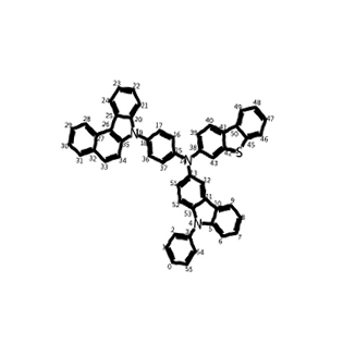 c1ccc(-n2c3ccccc3c3cc(N(c4ccc(-n5c6ccccc6c6c7ccccc7ccc65)cc4)c4ccc5c(c4)sc4ccccc45)ccc32)cc1